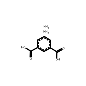 N.N.O=C(O)c1cccc(C(=O)O)c1